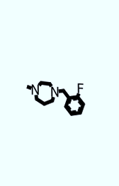 CN1CCCN(Cc2ccccc2F)CC1